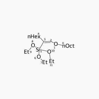 CCCCCCCCOC=C(CCCCCC)[Si](OCC)(OCC)OCC